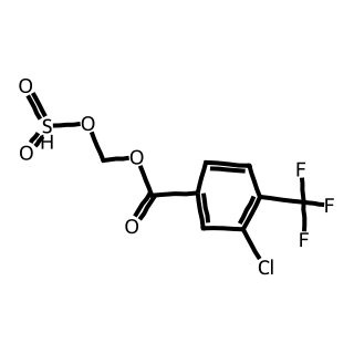 O=C(OCO[SH](=O)=O)c1ccc(C(F)(F)F)c(Cl)c1